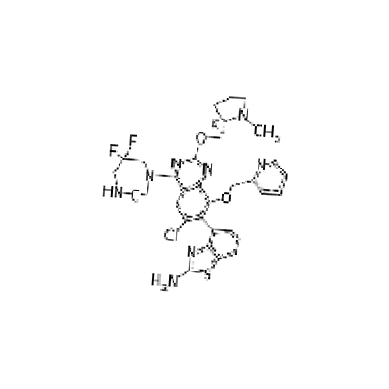 CN1CCC[C@H]1COc1nc(N2CCNCC(F)(F)C2)c2cc(Cl)c(-c3cccc4sc(N)nc34)c(OCc3ccccn3)c2n1